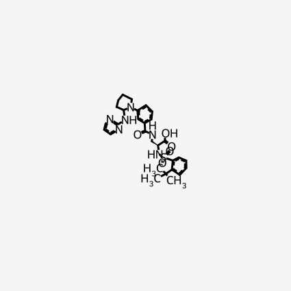 CC(C)(C)c1ccccc1S(=O)(=O)N[C@@H](CNC(=O)c1cccc(N2CCCCC2Nc2ncccn2)c1)C(=O)O